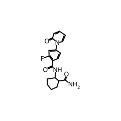 NC(=O)C1CCCCC1NC(=O)c1ccc(-n2ccccc2=O)cc1F